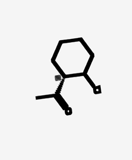 CC(=O)[C@@H]1CCCCC1Cl